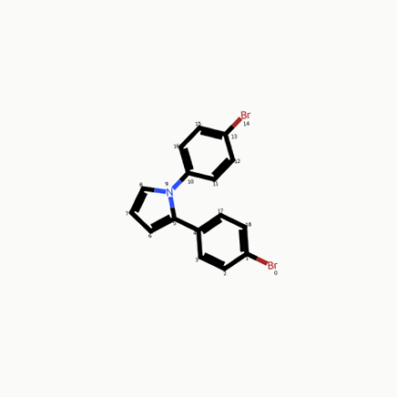 Brc1ccc(-c2cccn2-c2ccc(Br)cc2)cc1